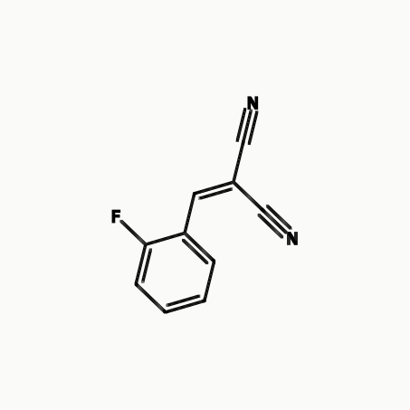 N#CC(C#N)=Cc1ccccc1F